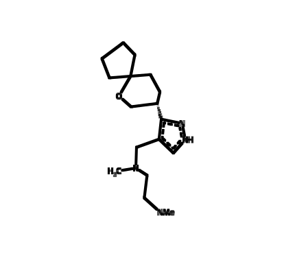 CNCCN(C)Cc1c[nH]nc1[C@H]1CCC2(CCCC2)OC1